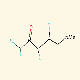 CNCC(F)C(F)C(=O)C(F)F